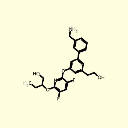 CCC(CO)Oc1nc(Oc2cc(CCO)cc(-c3cccc(CN)c3)c2)c(F)cc1F